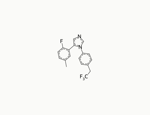 Cc1ccc(F)c(-c2cncn2-c2ccc(CC(F)(F)F)cc2)c1